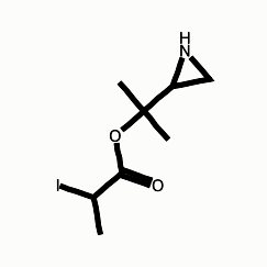 CC(I)C(=O)OC(C)(C)C1CN1